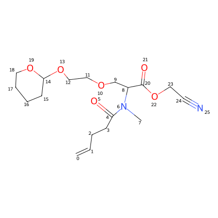 C=CCCC(=O)N(C)C(COCCOC1CCCCO1)C(=O)OCC#N